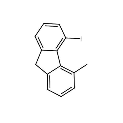 Cc1cccc2c1-c1c(I)cccc1C2